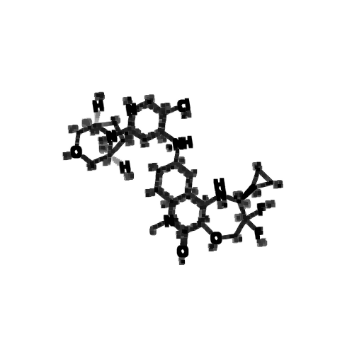 Cn1c(=O)c2c(c3cc(Nc4cc(N5[C@@H]6CC[C@H]5COC6)ncc4Cl)ccc31)N[C@@H](C1CC1)C(F)(F)CO2